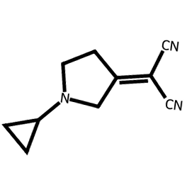 N#CC(C#N)=C1CCN(C2CC2)C1